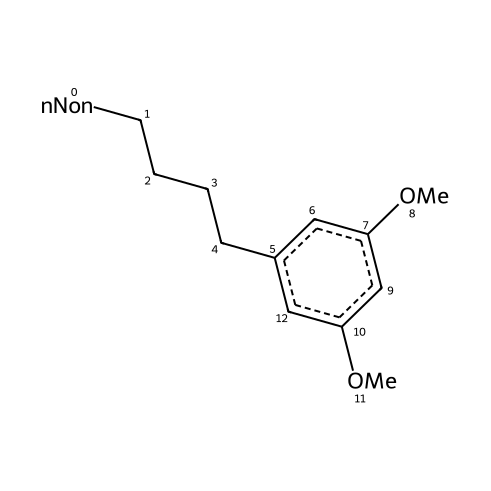 CCCCCCCCCCCCCc1cc(OC)cc(OC)c1